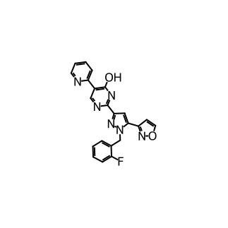 Oc1nc(-c2cc(-c3ccon3)n(Cc3ccccc3F)n2)ncc1-c1ccccn1